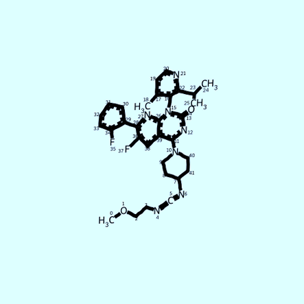 COCCN=C=NC1CCN(c2nc(=O)n(-c3c(C)ccnc3C(C)C)c3nc(-c4ccccc4F)c(F)cc23)CC1